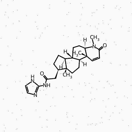 CN1C(=O)C=C[C@]2(C)[C@H]3CC[C@]4(C)[C@@H](CC(=O)Nc5ncc[nH]5)CC[C@H]4[C@@H]3CC[C@@H]12